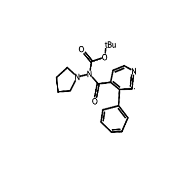 CC(C)(C)OC(=O)N(C(=O)c1ccn[c]c1-c1ccccc1)N1CCCC1